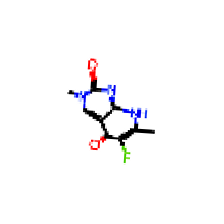 Cc1[nH]c2nc(=O)n(C)cc2c(=O)c1F